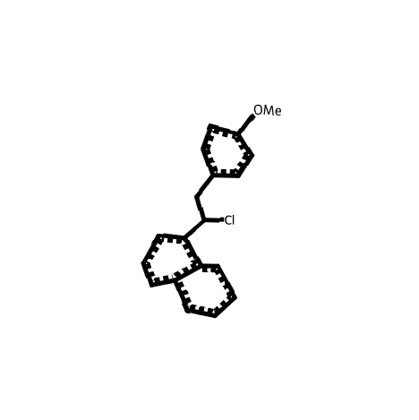 COc1ccc(CC(Cl)c2cccc3ccccc23)cc1